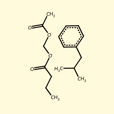 CC(C)Cc1ccccc1.CCCC(=O)OCOC(C)=O